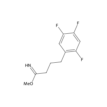 COC(=N)CCCc1cc(F)c(F)cc1F